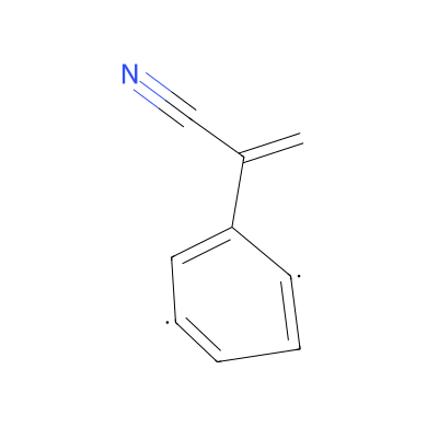 C=C(C#N)c1[c]cc[c]c1